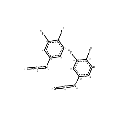 Fc1ccc(N=C=S)cc1F.Fc1ccc(N=C=S)cc1F